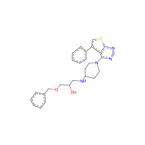 OC(CNC1CCN(c2ncnc3scc(-c4ccccc4)c23)CC1)COCc1ccccc1